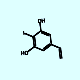 C=Cc1cc(O)c(I)c(O)c1